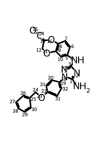 Nc1nc(Nc2ccc3c(c2)OCC(=C=O)O3)nn1-c1ccc(OCc2ccccc2)cc1